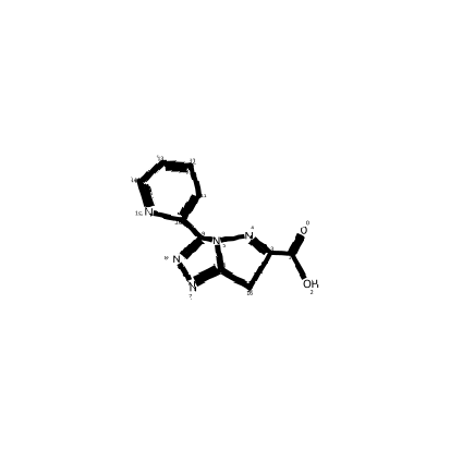 O=C(O)C1=Nn2c(nnc2-c2ccccn2)C1